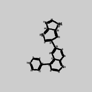 c1cc(-c2ccnc3ccc(-c4cnc5nc[nH]c5c4)cc23)ccn1